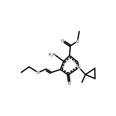 CCO/C=C/c1c(N)c(C(=O)OC)cn(C2(C)CC2)c1=O